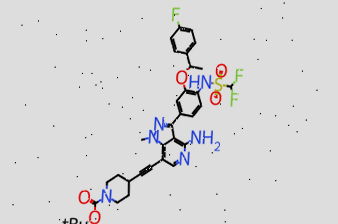 CC(Oc1cc(-c2nn(C)c3c(C#CC4CCN(C(=O)OC(C)(C)C)CC4)cnc(N)c23)ccc1NS(=O)(=O)C(F)F)c1ccc(F)cc1